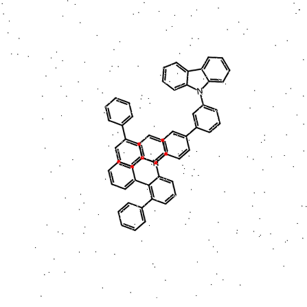 c1ccc(-c2cccc(N(c3ccc(-c4cccc(-n5c6ccccc6c6ccccc65)c4)cc3)c3cccc(-c4ccccc4)c3-c3ccccc3-c3ccccc3)c2)cc1